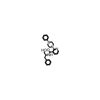 O=C(NC(CO)Cc1ccccc1)c1cccnc1N1CCN(c2ccccc2)CC1